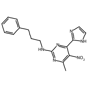 Cc1nc(NCCCc2ccccc2)nc(-c2ncc[nH]2)c1[N+](=O)[O-]